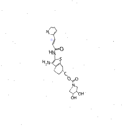 Nc1c(NC(=O)/C=C/c2cccnc2)sc2c1CCC(COC(=O)N1CCC(O)C(O)C1)C2